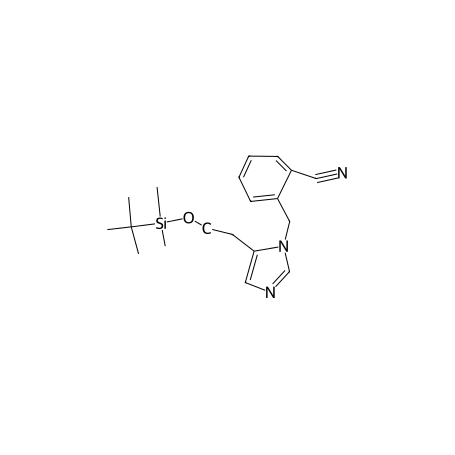 CC(C)(C)[Si](C)(C)OCCc1cncn1Cc1ccccc1C#N